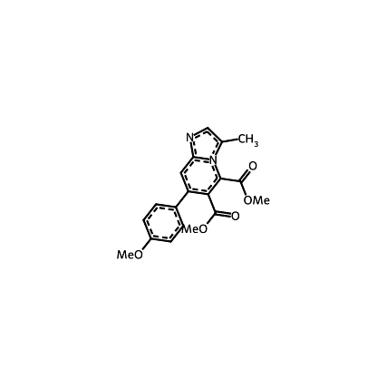 COC(=O)c1c(-c2ccc(OC)cc2)cc2ncc(C)n2c1C(=O)OC